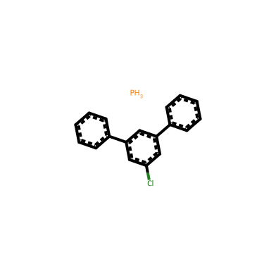 Clc1cc(-c2ccccc2)cc(-c2ccccc2)c1.P